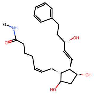 CCNC(=O)CCC/C=C\C[C@H]1C(O)C[C@@H](O)[C@@H]1/C=C/[C@@H](O)CCc1ccccc1